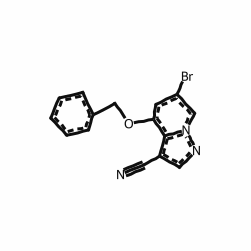 N#Cc1cnn2cc(Br)cc(OCc3ccccc3)c12